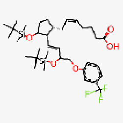 CC(C)(C)[Si](C)(C)OC(/C=C/[C@H]1C(O[Si](C)(C)C(C)(C)C)CC[C@@H]1C/C=C\CCCC(=O)O)COc1cccc(C(F)(F)F)c1